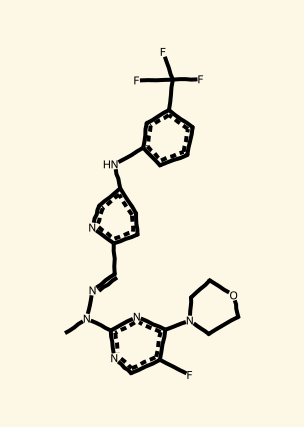 CN(/N=C/c1ccc(Nc2cccc(C(F)(F)F)c2)cn1)c1ncc(F)c(N2CCOCC2)n1